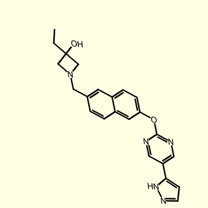 CCC1(O)CN(Cc2ccc3cc(Oc4ncc(-c5ccn[nH]5)cn4)ccc3c2)C1